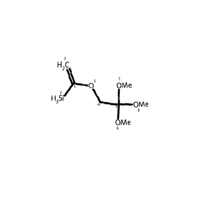 C=C([SiH3])OCC(OC)(OC)OC